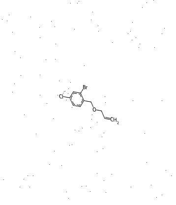 C=CCOCc1ccc(Cl)cc1Br